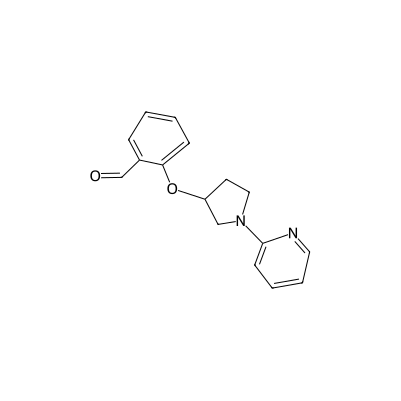 O=Cc1ccccc1OC1CCN(c2ccccn2)C1